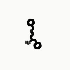 CC(C=NOCc1ccccc1)=Cc1ccccc1